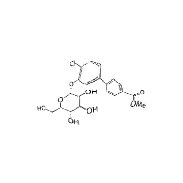 COC(=O)c1ccc(-c2ccc(Cl)c(O[C@H]3OC(CO)[C@@H](O)C(O)C3O)c2)cc1